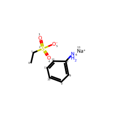 CCS(=O)(=O)[O-].Nc1ccccc1.[Na+]